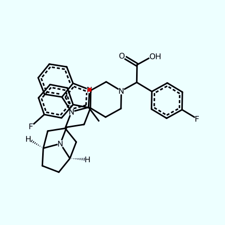 Cc1nc2ccccc2n1C1C[C@H]2CC[C@@H](C1)N2CCC1(c2cccc(F)c2)CCN(C(C(=O)O)c2ccc(F)cc2)CC1